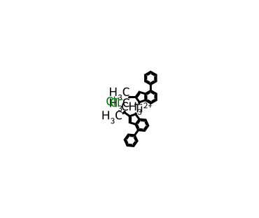 CC(C)C1=Cc2c(-c3ccccc3)cccc2[CH]1[Ti+2][CH]1C(C(C)C)=Cc2c(-c3ccccc3)cccc21.[Cl-].[Cl-]